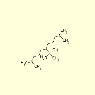 CN(C)CCCC(CCCN(C)C)C(C)(N)O